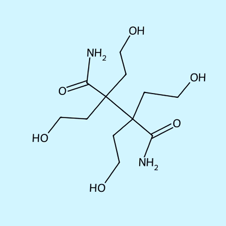 NC(=O)C(CCO)(CCO)C(CCO)(CCO)C(N)=O